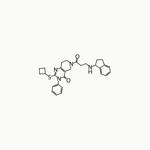 O=C(CCNC1CCc2ccccc21)N1CCc2nc(SC3CCC3)n(-c3ccccc3)c(=O)c2C1